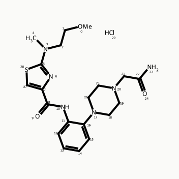 COCCN(C)c1nc(C(=O)Nc2ccccc2N2CCN(CC(N)=O)CC2)cs1.Cl